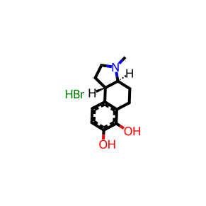 Br.CN1CC[C@H]2c3ccc(O)c(O)c3CC[C@@H]21